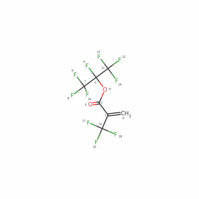 C=C(C(=O)OC(F)(C(F)(F)F)C(F)(F)F)C(F)(F)F